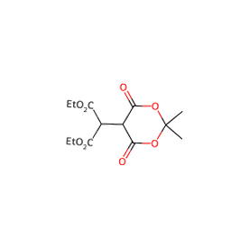 CCOC(=O)C(C(=O)OCC)C1C(=O)OC(C)(C)OC1=O